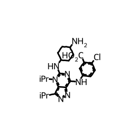 CC(C)c1nnc2c(Nc3ccc(Cl)c(C(=O)O)c3)nc(NC3CCC(N)CC3)n(C(C)C)c1-2